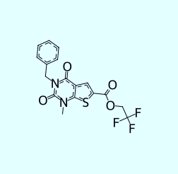 Cn1c(=O)n(Cc2ccccc2)c(=O)c2cc(C(=O)OCC(F)(F)F)sc21